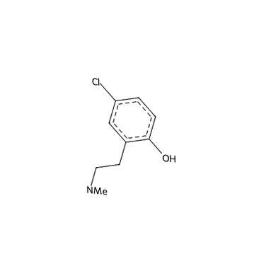 CNCCc1cc(Cl)ccc1O